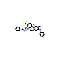 C[C@]12Cc3cnn(-c4ccc(F)cc4)c3C=C1CC[C@H]1C2=CC[C@@H](C(F)(F)F)[C@@H]1c1nnc(-c2ccccc2)s1